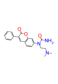 CN(C)CCN(C(N)=O)c1ccc2cc(-c3ccccc3)c(=O)oc2c1